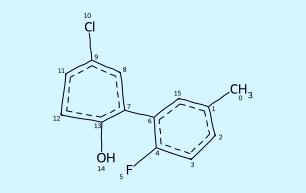 Cc1ccc(F)c(-c2cc(Cl)ccc2O)c1